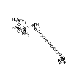 CCCN(Cc1ccc(CN(C)C)cc1)C(=O)C1=Cc2sc(CCCCCN(C)CCOCCOCCOCCOCCOCCOCCOCCOCCOCCOCCC(=O)Oc3c(F)c(F)cc(F)c3F)cc2N=C(N)C1